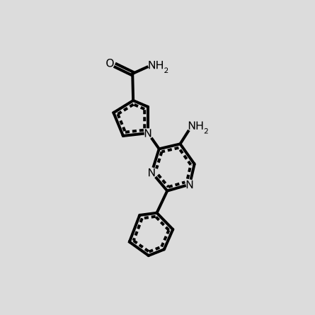 NC(=O)c1ccn(-c2nc(-c3ccccc3)ncc2N)c1